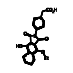 CCOc1c2c(c(O)c3ccccc13)C(=O)N(c1ccc(CC(=O)O)cc1)C2=O